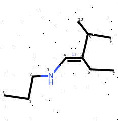 CCCN/C=C(\CC)C(C)C